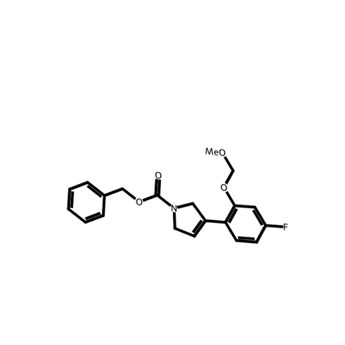 COCOc1cc(F)ccc1C1=CCN(C(=O)OCc2ccccc2)C1